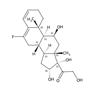 C[C@]12CCC=CC1=C(F)C[C@@H]1[C@@H]2[C@@H](O)C[C@@]2(C)[C@H]1C[C@@H](O)[C@]2(O)C(=O)CO